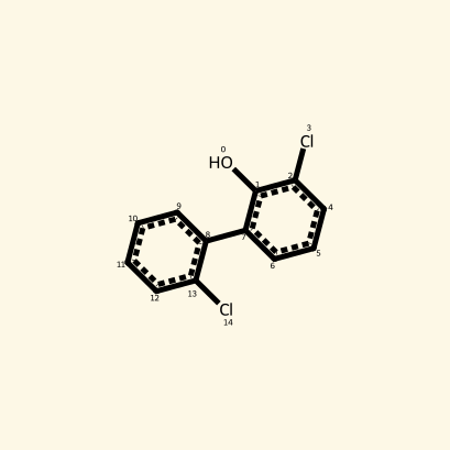 Oc1c(Cl)cccc1-c1ccccc1Cl